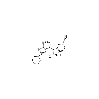 N#Cc1ccc2c(c1)C(c1ncnc3nn(C4CCCCC4)cc13)C(=O)N2